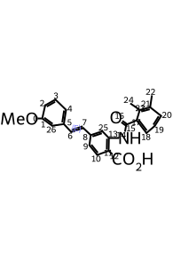 COc1cccc(/C=C/c2ccc(C(=O)O)c(NC(=O)c3cccc(C)c3C)c2)c1